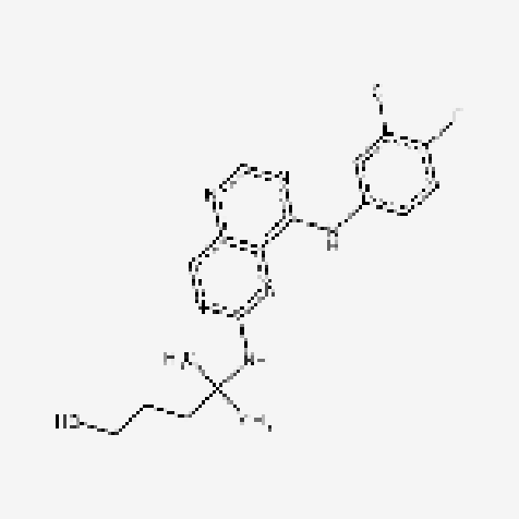 CC(C)(CCCO)Nc1ncc2ncnc(Nc3ccc(F)c(Cl)c3)c2n1